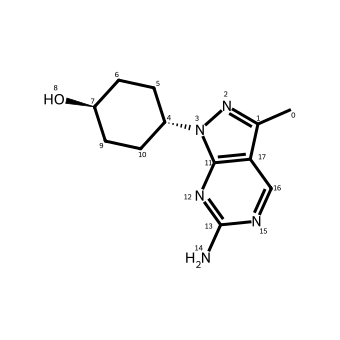 Cc1nn([C@H]2CC[C@H](O)CC2)c2nc(N)ncc12